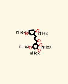 CCCCCCOc1ccc(OCCCCCC)c(C=CC(=O)c2cc(OCCCCCC)cc(OCCCCCC)c2OCCCCCC)c1